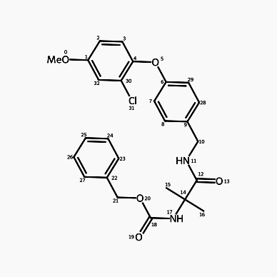 COc1ccc(Oc2ccc(CNC(=O)C(C)(C)NC(=O)OCc3ccccc3)cc2)c(Cl)c1